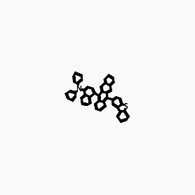 c1ccc(N(c2ccccc2)c2ccc(-c3c4ccccc4c(-c4ccc5sc6ccccc6c5c4)c4cc5ccccc5cc34)c3ccccc23)cc1